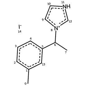 Cc1cccc(C(C)[n+]2cc[nH]c2)c1.[I-]